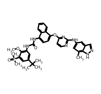 COc1c(NC(=O)Nc2ccc(Oc3ccnc(Nc4cc(C)c5[nH]ncc5c4)n3)c3ccccc23)cc(C(C)(C)C)cc1P(C)(C)=O